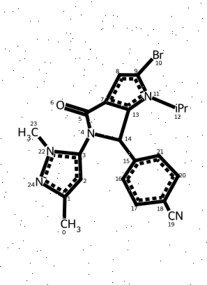 Cc1cc(N2C(=O)c3cc(Br)n(C(C)C)c3C2c2ccc(C#N)cc2)n(C)n1